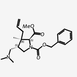 C=CC[C@]1(C)[C@@H](CN(C)C)CN(C(=O)OCc2ccccc2)[C@@H]1C(=O)OC